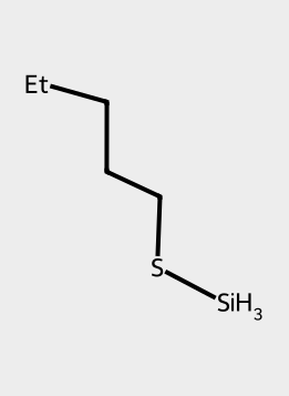 CCCCCS[SiH3]